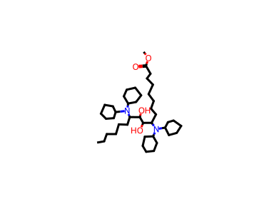 CCCCCCC(C(O)C(O)C(CCCCCCCC(=O)OC)N(C1CCCCC1)C1CCCCC1)N(C1CCCCC1)C1CCCCC1